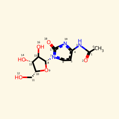 CC(=O)Nc1ccn([C@@H]2O[C@H](CO)[C@H](O)C2O)c(=O)n1